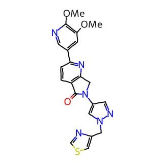 COc1cc(-c2ccc3c(n2)CN(c2cnn(Cc4cscn4)c2)C3=O)cnc1OC